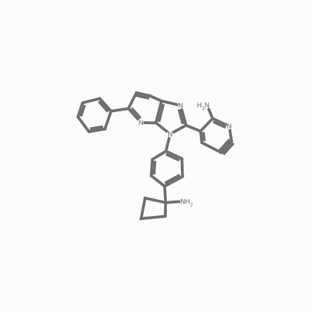 Nc1nc#ccc1-c1nc2ccc(-c3ccccc3)nc2n1-c1ccc(C2(N)CCC2)cc1